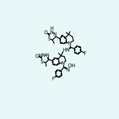 CC1SC(=O)NN=C1c1ccc2c(c1)C(C)(C)CCN2/C(=N\O)c1ccc(F)cc1.CC1SC(=O)NN=C1c1ccc2c(c1)C(C)(C)CCN2C(=N)c1ccc(F)cc1